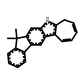 CC1(C)c2ccccc2-c2cc3c4c([nH]c3cc21)CC=CC=C4